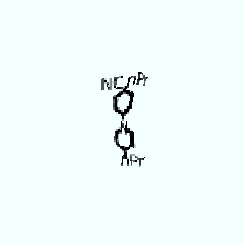 CCCC1CCN([C@H]2CC[C@@](C#N)(CCC)CC2)CC1